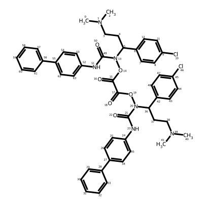 CN(C)CCC(c1ccc(Cl)cc1)N(OC(=O)C(=O)ON(C(=O)Nc1ccc(-c2ccccc2)cc1)C(CCN(C)C)c1ccc(Cl)cc1)C(=O)Nc1ccc(-c2ccccc2)cc1